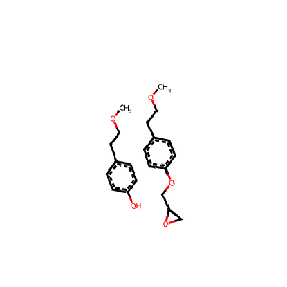 COCCc1ccc(O)cc1.COCCc1ccc(OCC2CO2)cc1